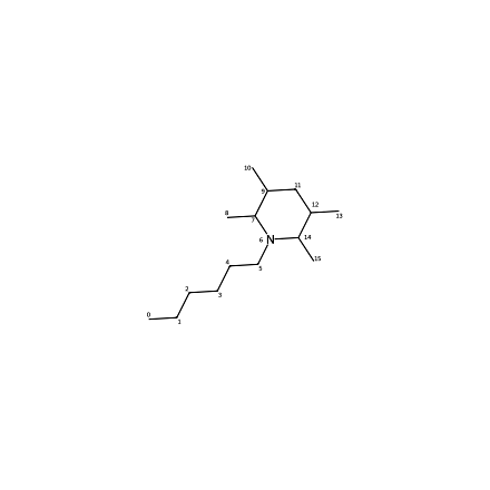 CCCCCCN1C(C)C(C)CC(C)C1C